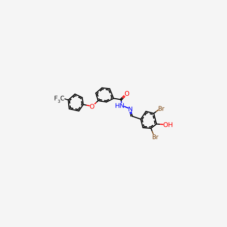 O=C(N/N=C/c1cc(Br)c(O)c(Br)c1)c1cccc(Oc2ccc(C(F)(F)F)cc2)c1